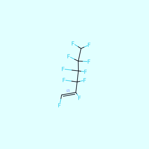 F/C=C(\F)C(F)(F)C(F)(F)C(F)(F)C(F)F